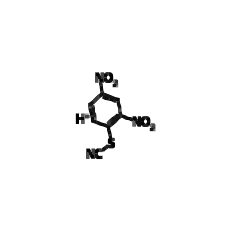 N#CSc1ccc([N+](=O)[O-])cc1[N+](=O)[O-].[H+]